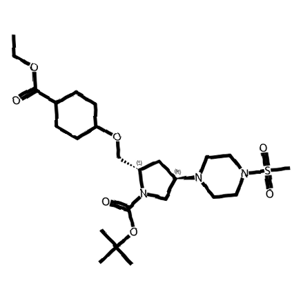 CCOC(=O)C1CCC(OC[C@@H]2C[C@@H](N3CCN(S(C)(=O)=O)CC3)CN2C(=O)OC(C)(C)C)CC1